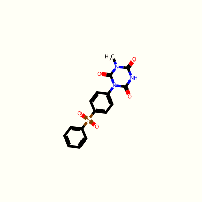 Cn1c(=O)[nH]c(=O)n(-c2ccc(S(=O)(=O)c3ccccc3)cc2)c1=O